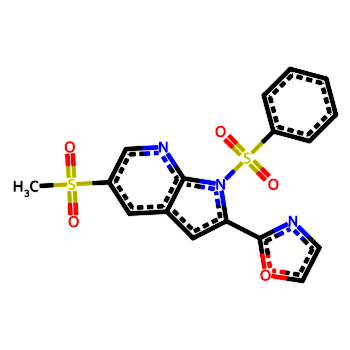 CS(=O)(=O)c1cnc2c(c1)cc(-c1ncco1)n2S(=O)(=O)c1ccccc1